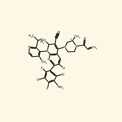 C=CC(=O)N1CCN(C2=C(C#N)C(O)N(c3c(C)ccnc3C(C)C)c3nc(-c4c(F)c(Cl)c(F)c(N)c4Cl)c(Cl)cc32)C[C@H]1C